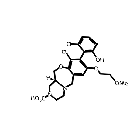 COCCOc1cc2c(c(Cl)c1-c1c(O)cccc1Cl)OC[C@H]1CN(C(=O)O)CCN1C2